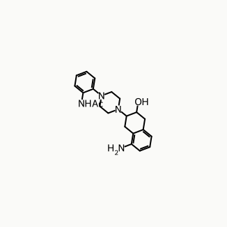 CC(=O)Nc1ccccc1N1CCN(C2Cc3c(N)cccc3CC2O)CC1